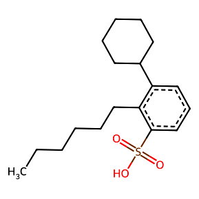 CCCCCCc1c(C2CCCCC2)cccc1S(=O)(=O)O